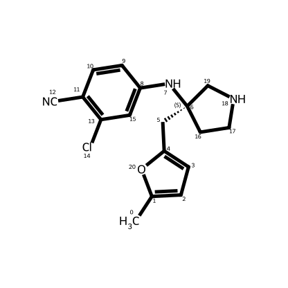 Cc1ccc(C[C@@]2(Nc3ccc(C#N)c(Cl)c3)CCNC2)o1